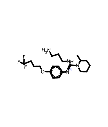 CC1CCCCN1/C(=N/c1ccc(OCCCC(F)(F)F)cc1)NCCCN